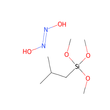 CO[Si](CC(C)C)(OC)OC.ON=NO